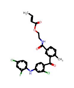 CC=CC(=O)OCCNC(=O)c1ccc(C)c(C(=O)c2ccc(Nc3ccc(Cl)cc3F)cc2Cl)c1